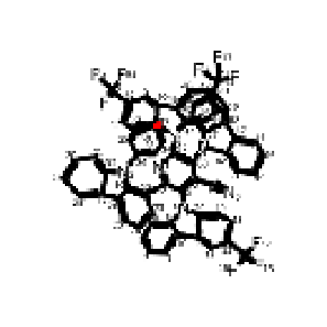 N#Cc1c(-n2c3ccccc3c3cc(C(F)(F)F)ccc32)c(-c2cccc3c4ccccc4n(-c4ccccc4)c23)nc(-n2c3ccccc3c3cc(C(F)(F)F)ccc32)c1-n1c2ccccc2c2cc(C(F)(F)F)ccc21